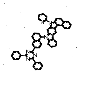 c1ccc(-c2nc(-c3ccccc3)nc(-c3ccc4c(-n5c6ccccc6c6cc7c8c9ccccc9ccc8n(-c8ccccn8)c7cc65)cccc4c3)n2)cc1